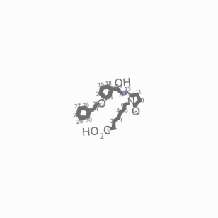 O=C(O)CCCCCCN1C(=O)CC[C@@H]1/C=C/C(O)c1cccc(OCCc2ccccc2)c1